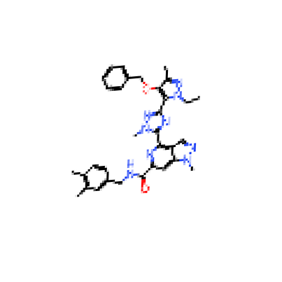 CCn1nc(C)c(OCc2ccccc2)c1-c1nc(-c2nc(C(=O)NCc3ccc(C)c(C)c3)cc3c2cnn3C)n(C)n1